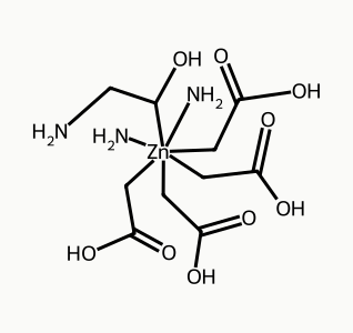 NC[CH](O)[Zn]([NH2])([NH2])([CH2]C(=O)O)([CH2]C(=O)O)([CH2]C(=O)O)[CH2]C(=O)O